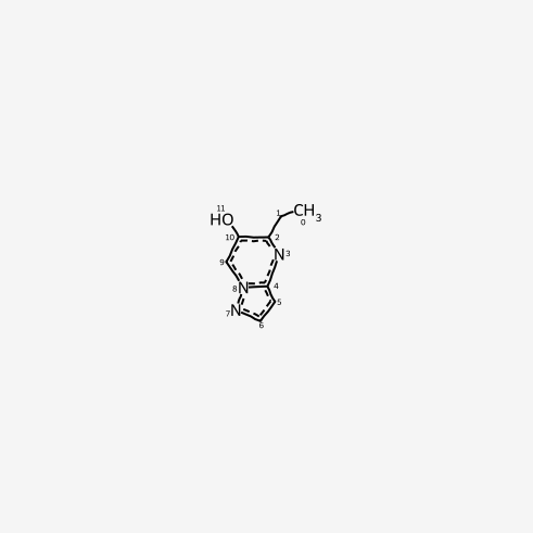 CCc1nc2ccnn2cc1O